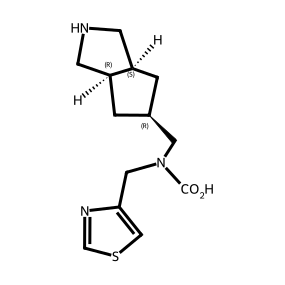 O=C(O)N(Cc1cscn1)C[C@H]1C[C@H]2CNC[C@H]2C1